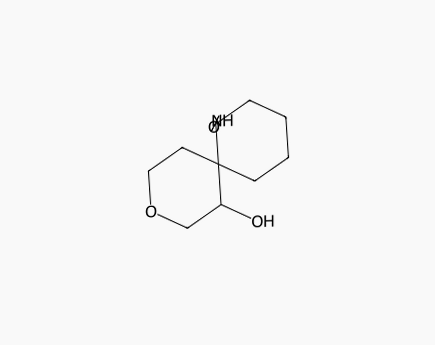 OC1COCCC12CCCCC21NCCO1